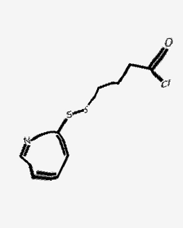 O=C(Cl)CCCSSc1ccccn1